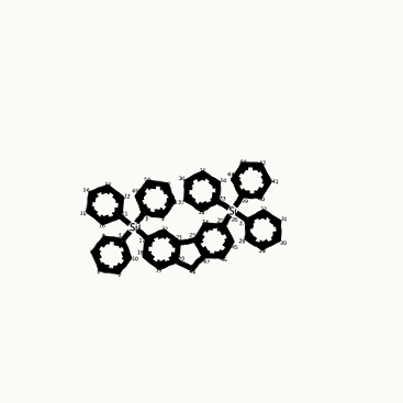 c1ccc([Si](c2ccccc2)(c2ccccc2)c2ccc3c(c2)-c2cc([Si](c4ccccc4)(c4ccccc4)c4ccccc4)ccc2C3)cc1